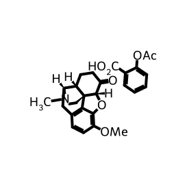 CC(=O)Oc1ccccc1C(=O)O.COc1ccc2c3c1O[C@H]1C(=O)CC[C@H]4[C@@H](C2)N(C)CC[C@]314